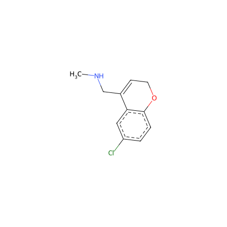 CNCC1=CCOc2ccc(Cl)cc21